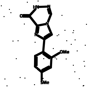 COc1cc(SC)ccc1-c1cn2cn[nH]c(=O)c2n1